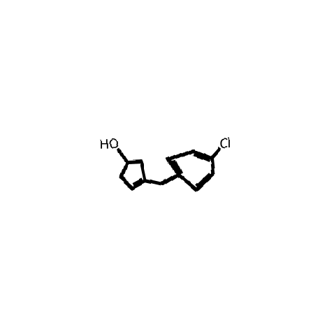 OC1CC=C(Cc2ccc(Cl)cc2)C1